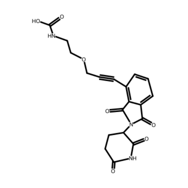 O=C(O)NCCOCC#Cc1cccc2c1C(=O)N(C1CCC(=O)NC1=O)C2=O